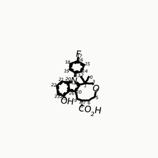 CC1(C)COCC[C@H](C(=O)O)Cc2c1n(-c1ccc(F)cc1)c1cccc(O)c21